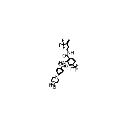 C=C(CCNC(=O)c1ccc(C(F)(F)F)cc1NS(=O)(=O)c1ccc(N2CCS(=O)(=O)CC2)cc1)C(F)(F)F